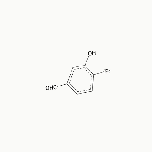 CC(C)c1ccc(C=O)cc1O